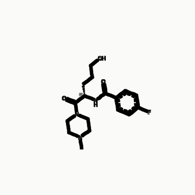 CN1CCN(C(=O)[C@H](CCCO)NC(=O)c2ccc(F)cc2)CC1